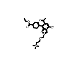 CCOC(=O)C1CC=C(c2c(C(C)=O)cc(Cl)c3cn(COCC[Si](C)(C)C)nc23)CC1